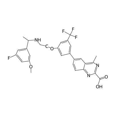 COc1cc(F)cc(C(C)NCCOc2cc(-c3ccc4nc(C(=O)O)nc(C)c4c3)cc(C(F)(F)F)c2)c1